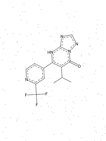 CC(C)c1c(-c2ccnc(C(F)(F)F)c2)[nH]c2ncnn2c1=O